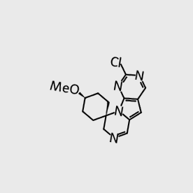 CO[C@H]1CC[C@]2(CC1)CN=Cc1cc3cnc(Cl)nc3n12